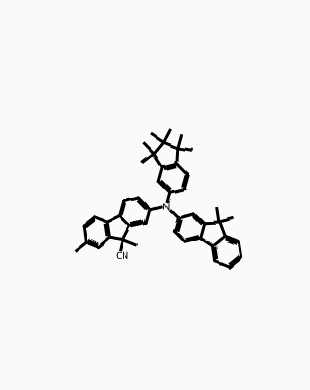 Cc1ccc2c(c1)C(C)(C#N)c1cc(N(c3ccc4c(c3)C(C)(C)c3ccccc3-4)c3ccc4c(c3)C(C)(C)C(C)(C)C4(C)C)ccc1-2